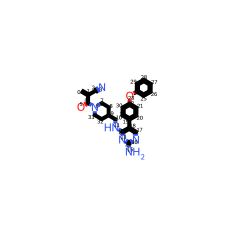 C=C(C#N)C(=O)N1CCC(CNc2nc(N)ncc2-c2ccc(Oc3ccccc3)cc2)CC1